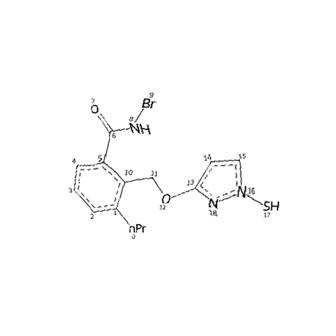 CCCc1cccc(C(=O)NBr)c1COc1ccn(S)n1